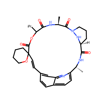 CC(C)C1OC(=O)C2(/C=C/c3ccc4ccc(nc4c3)[C@@H](C)NC(=O)[C@@H]3CCCN(N3)C(=O)[C@H](C)NC1=O)CCCCO2